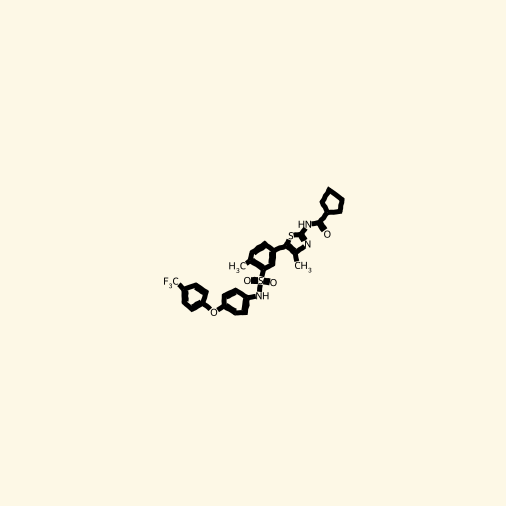 Cc1ccc(-c2sc(NC(=O)C3CCCC3)nc2C)cc1S(=O)(=O)Nc1ccc(Oc2ccc(C(F)(F)F)cc2)cc1